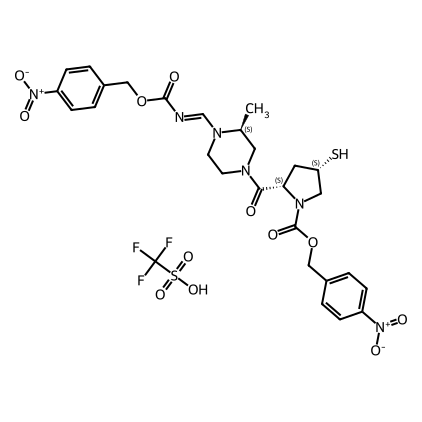 C[C@H]1CN(C(=O)[C@@H]2C[C@H](S)CN2C(=O)OCc2ccc([N+](=O)[O-])cc2)CCN1C=NC(=O)OCc1ccc([N+](=O)[O-])cc1.O=S(=O)(O)C(F)(F)F